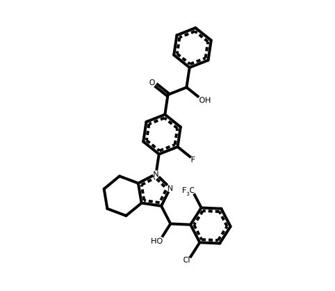 O=C(c1ccc(-n2nc(C(O)c3c(Cl)cccc3C(F)(F)F)c3c2CCCC3)c(F)c1)C(O)c1ccccc1